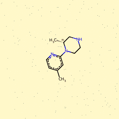 Cc1ccnc(N2CCNC[C@H]2C)c1